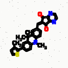 Cc1ccsc1-c1ccc2c(c1)C(C)(C)c1cc(C=C3C(=O)c4nccnc4C3=O)ccc1N2C